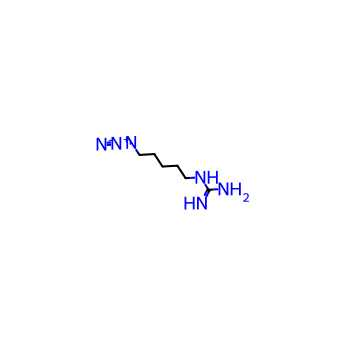 [N-]=[N+]=NCCCCCNC(=N)N